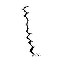 CCCCCCCCC=CCCCCCCCCCCCC(C)C